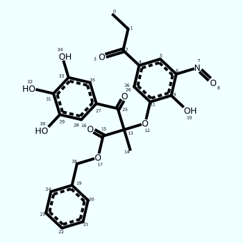 CCC(=O)c1cc(N=O)c(O)c(OC(C)(C(=O)OCc2ccccc2)C(=O)c2cc(O)c(O)c(O)c2)c1